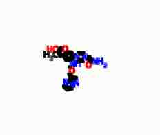 C[C@@]1(O)COc2cc(N3CCN(CC(N)=O)CC3)c(NCOCc3cnn4cccnc34)cc2C1